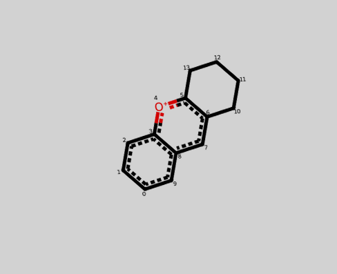 c1ccc2[o+]c3c(cc2c1)CCCC3